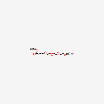 CCCCCCCCOCCOCCOCCOCCCC(=O)OCCCC